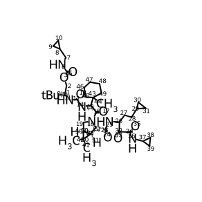 CC(C)(C)[C@@H](COC(=O)NCC1CC1)NC(=O)N[C@H](C(=O)N1C[C@H]2[C@@H]([C@H]1C(=O)NC(CCC1CC1)C(=O)C(=O)NC1CC1)C2(C)C)C1(C)CCCCC1